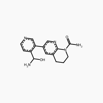 NC(=O)N1CCCc2cc(-c3cnccc3C(N)O)cnc21